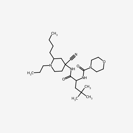 CCCCC1CC(C#N)(NC(=O)C(CC(C)(C)C)NC(=O)N2CCOCC2)CCN1CCC